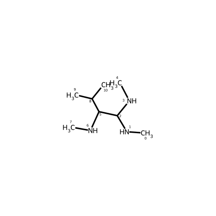 CNC(NC)C(NC)[C](C)C